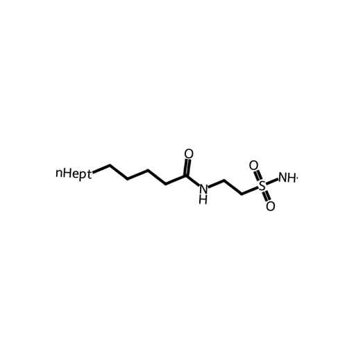 CCCCCCCCCCCC(=O)NCCS([NH])(=O)=O